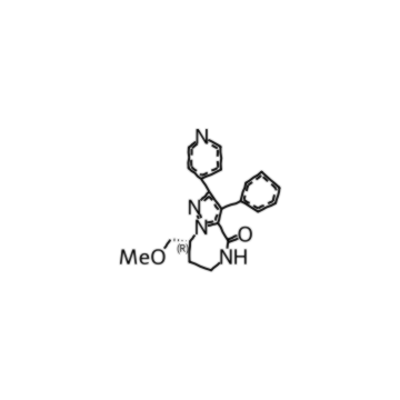 COC[C@H]1CCNC(=O)c2c(-c3ccccc3)c(-c3ccncc3)nn21